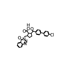 O=C(c1ccc(-c2ccc(Cl)cc2)cc1)C1CCC(Cn2nnc3ccccc3c2=O)C1C(=O)O